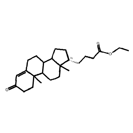 CCOC(=O)CCC[C@H]1CCC2C3CCC4=CC(=O)CCC4(C)C3CCC21C